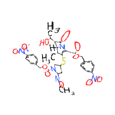 CO/N=C1\C[C@H](SC2=C(C(=O)OCc3ccc([N+](=O)[O-])cc3)N3C(=O)[C@H](C(C)O)[C@H]3[C@H]2C)CN1C(=O)OCc1ccc([N+](=O)[O-])cc1